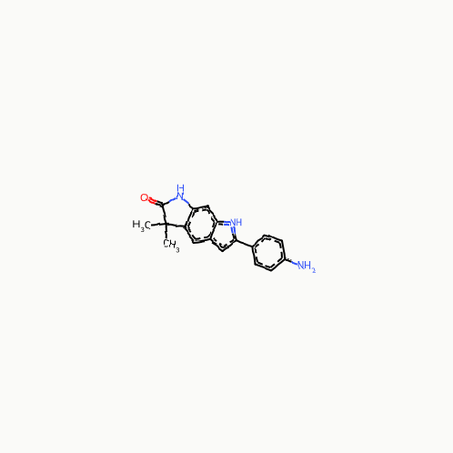 CC1(C)C(=O)Nc2cc3[nH]c(-c4ccc(N)cc4)cc3cc21